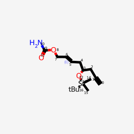 C#CCC(C/C=C/COC(N)=O)O[Si](C)(C)C(C)(C)C